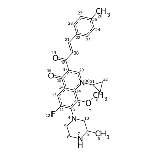 COc1c(N2CCNC(C)C2)c(F)cc2c(=O)c(C(=O)/C=C/c3ccc(C)cc3)cn(C3CC3)c12